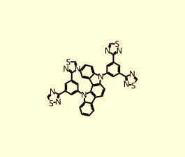 c1ccc2c(c1)c1c(ccc3c4ccccc4n(-c4cc(-c5ncsn5)cc(-c5ncsn5)c4)c31)n2-c1cc(-c2ncsn2)cc(-c2ncsn2)c1